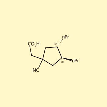 CCC[C@H]1CC(C#N)(CC(=O)O)C[C@@H]1CCC